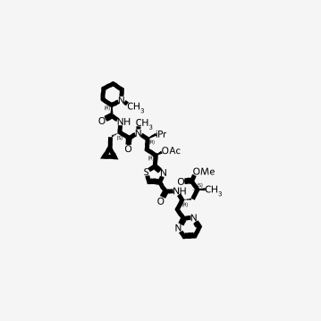 COC(=O)[C@@H](C)C[C@H](Cc1ncccn1)NC(=O)c1csc([C@@H](C[C@H](C(C)C)N(C)C(=O)[C@H](CC2CC2)NC(=O)[C@H]2CCCCN2C)OC(C)=O)n1